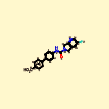 O=C(Nc1ccc(C23CCC(C(=O)O)(CC2)CC3)cc1)N1Cc2cc(F)cnc2C1